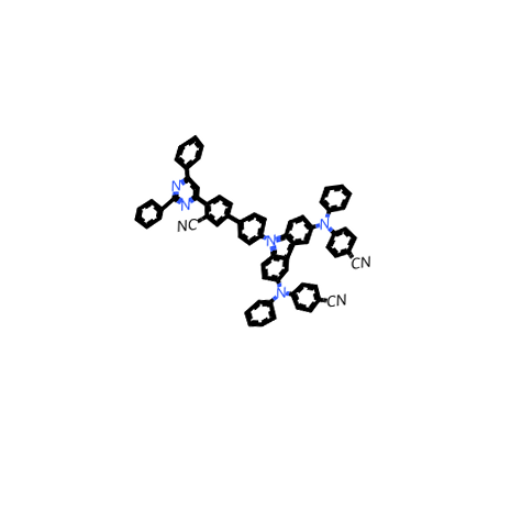 N#Cc1ccc(N(c2ccccc2)c2ccc3c(c2)c2cc(N(c4ccccc4)c4ccc(C#N)cc4)ccc2n3-c2ccc(-c3ccc(-c4cc(-c5ccccc5)nc(-c5ccccc5)n4)c(C#N)c3)cc2)cc1